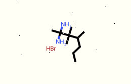 Br.CCCC(C)C(C)(C)C(C)(N)N